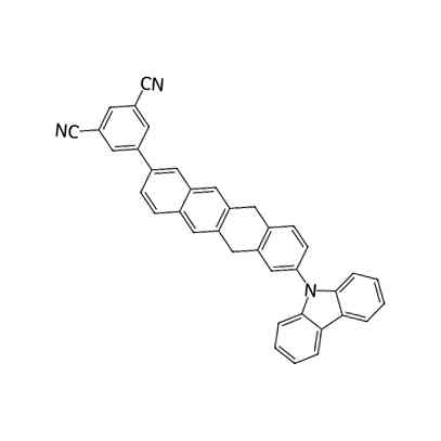 N#Cc1cc(C#N)cc(-c2ccc3cc4c(cc3c2)Cc2ccc(-n3c5ccccc5c5ccccc53)cc2C4)c1